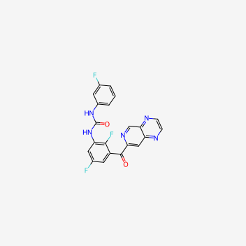 O=C(Nc1cccc(F)c1)Nc1cc(F)cc(C(=O)c2cc3nccnc3cn2)c1F